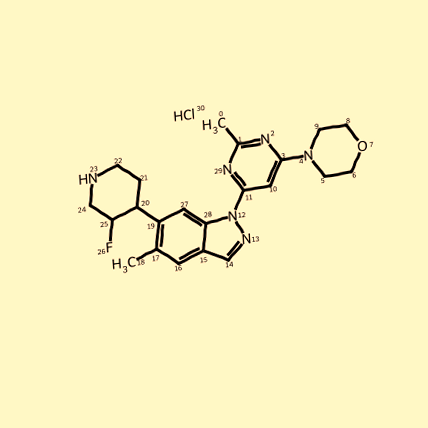 Cc1nc(N2CCOCC2)cc(-n2ncc3cc(C)c(C4CCNCC4F)cc32)n1.Cl